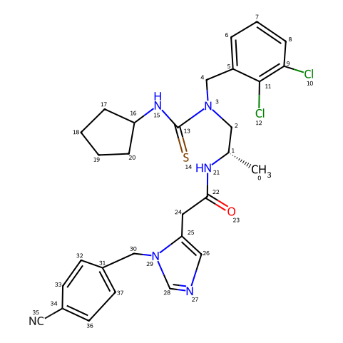 C[C@@H](CN(Cc1cccc(Cl)c1Cl)C(=S)NC1CCCC1)NC(=O)Cc1cncn1Cc1ccc(C#N)cc1